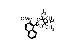 COc1ccc2ccccc2c1B1OC(C)(C)C(C)(C)O1